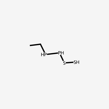 CCPPSS